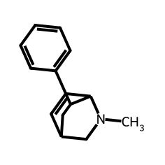 CN1CC2C=CC1C(c1ccccc1)C2